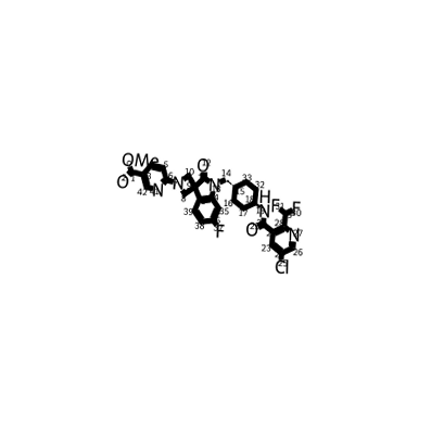 COC(=O)c1ccc(N2CC3(C2)C(=O)N(C[C@H]2CC[C@H](NC(=O)c4cc(Cl)cnc4C(F)F)CC2)c2cc(F)ccc23)nc1